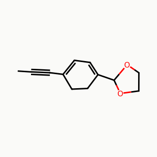 CC#CC1=CC=C(C2OCCO2)CC1